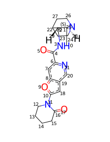 C[C@H]1[C@H](NC(=O)c2cc3oc(N4CCCCC4=O)cc3cn2)C2CCN1CC2